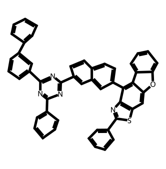 c1ccc(-c2cccc(-c3nc(-c4ccccc4)nc(-c4ccc5ccc(-c6c7nc(-c8ccccc8)sc7cc7oc8ccccc8c67)cc5c4)n3)c2)cc1